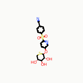 N#Cc1ccc(S(=O)(=O)c2ccc(O[C@@H]3SC[C@@H](O)[C@H](O)[C@H]3O)cn2)cc1